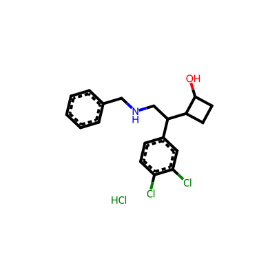 Cl.OC1CCC1C(CNCc1ccccc1)c1ccc(Cl)c(Cl)c1